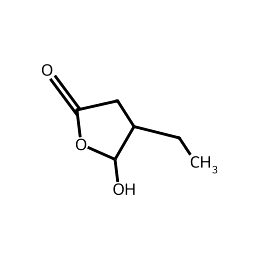 CCC1CC(=O)OC1O